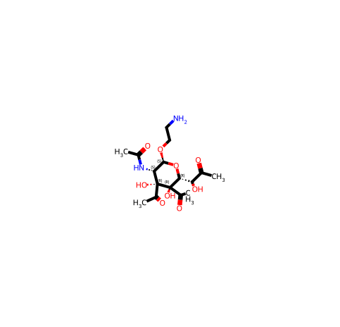 CC(=O)N[C@@H]1[C@@H](OCCN)O[C@H](C(O)C(C)=O)[C@](O)(C(C)=O)[C@@]1(O)C(C)=O